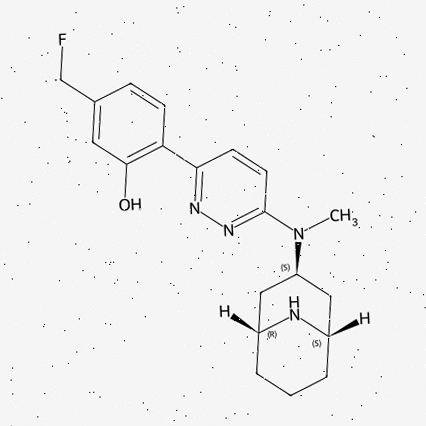 CN(c1ccc(-c2ccc([CH]F)cc2O)nn1)[C@@H]1C[C@H]2CCC[C@@H](C1)N2